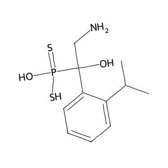 CC(C)c1ccccc1C(O)(CN)P(O)(=S)S